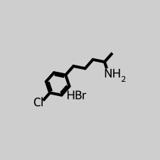 Br.CC(N)CCCc1ccc(Cl)cc1